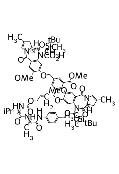 C=CCOC(=O)N[C@H](C(=O)N[C@@H](C)C(=O)Nc1ccc(COC(=O)N2c3cc(OCc4cc(COc5cc6c(cc5OC)C(=O)N5C=C(C)C[C@H]5[C@H](O[Si](C)(C)C(C)(C)C)N6C(=O)O)cc(C(=O)OC)c4)c(OC)cc3C(=O)N3C=C(C)C[C@H]3[C@@H]2O[Si](C)(C)C(C)(C)C)cc1)C(C)C